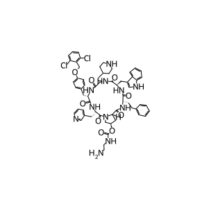 NCCNC(=O)O[C@@H]1C[C@H]2C(=O)N[C@@H](CCc3ccccc3)C(=O)N[C@H](Cc3c[nH]c4ccccc34)C(=O)N[C@@H](CC3CCNCC3)C(=O)N[C@@H](Cc3ccc(OCc4c(Cl)cccc4Cl)cc3)C(=O)N[C@@H](Cc3cccnc3)C(=O)N2C1